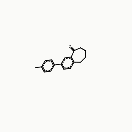 Cc1ccc(-c2ccc3c(c2)C(=O)CCCC3)cc1